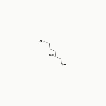 CCCCCCCCCCCCCCCCCCCCCCC.[BaH2]